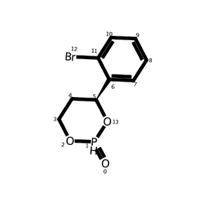 O=[PH]1OCC[C@@H](c2ccccc2Br)O1